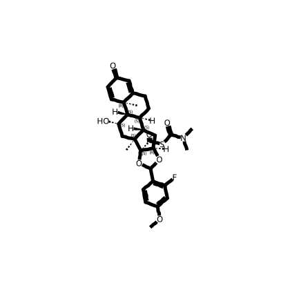 COc1ccc(C2O[C@@H]3C[C@H]4[C@@H]5CCC6=CC(=O)C=C[C@]6(C)[C@H]5[C@@H](O)C[C@]4(C)[C@]3(C(=O)SC(=O)N(C)C)O2)c(F)c1